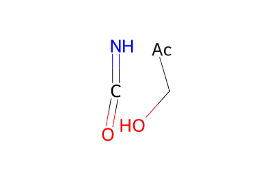 CC(=O)CO.N=C=O